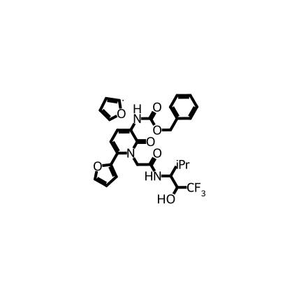 CC(C)C(NC(=O)Cn1c(-c2ccco2)ccc(NC(=O)OCc2ccccc2)c1=O)C(O)C(F)(F)F.[c]1ccco1